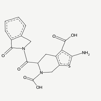 Nc1sc2c(c1C(=O)O)CC(C(=O)N1Cc3ccccc3C1=O)N(C(=O)O)C2